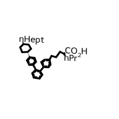 CCCCCCC[C@H]1CC[C@H](c2ccc(-c3ccccc3-c3ccc(CCCC(CCC)C(=O)O)cc3)cc2)CC1